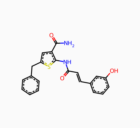 NC(=O)c1cc(Cc2ccccc2)sc1NC(=O)C=Cc1cccc(O)c1